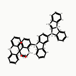 c1ccc2c(c1)Oc1ccccc1C21c2ccccc2Oc2c(-n3c4ccccc4c4cc(-n5c6ccccc6n6c7ccccc7nc56)ccc43)cccc21